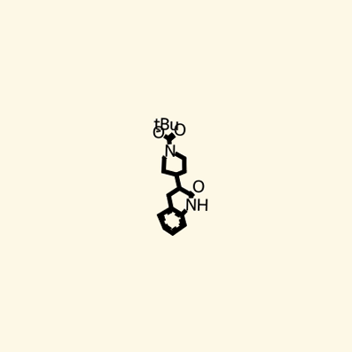 CC(C)(C)OC(=O)N1CCC(C2Cc3ccccc3NC2=O)CC1